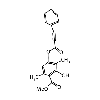 COC(=O)c1c(C)cc(OC(=O)C#Cc2ccccc2)c(C)c1O